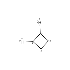 [2H]C1CCC1[2H]